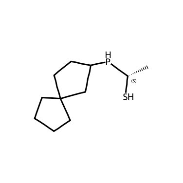 C[C@H](S)PC1CCC2(CCCC2)C1